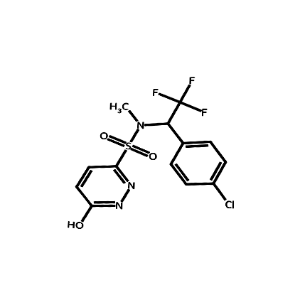 CN(C(c1ccc(Cl)cc1)C(F)(F)F)S(=O)(=O)c1ccc(O)nn1